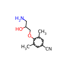 Cc1cc(C#N)cc(C)c1OCC(O)CN